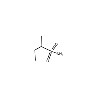 CCC(C)S(N)(=O)=O